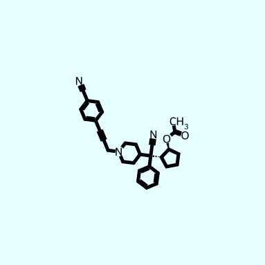 CC(=O)O[C@H]1CCC[C@@H]1C(C#N)(c1ccccc1)C1CCN(CC#Cc2ccc(C#N)cc2)CC1